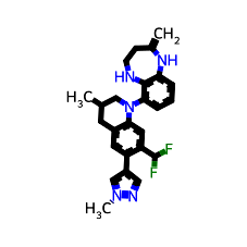 C=C1CCNc2c(cccc2N2CC(C)Cc3cc(-c4cnn(C)c4)c(C(F)F)cc32)N1